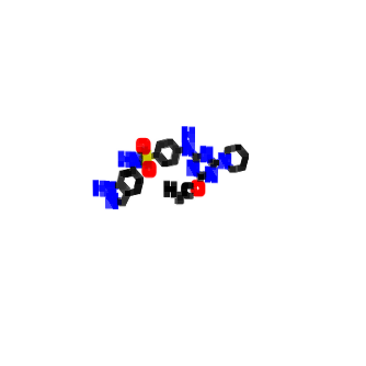 COc1nc(Nc2ccc(S(=O)(=O)Nc3ccc4cn[nH]c4c3)cc2)nc(N2CCCCC2)n1